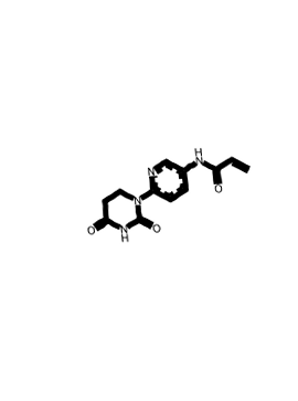 C=CC(=O)Nc1ccc(N2CCC(=O)NC2=O)nc1